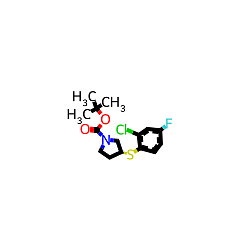 CC(C)(C)OC(=O)N1CC[C@H](Sc2ccc(F)cc2Cl)C1